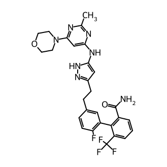 Cc1nc(Nc2cc(CCc3ccc(F)c(-c4c(C(N)=O)cccc4C(F)(F)F)c3)n[nH]2)cc(N2CCOCC2)n1